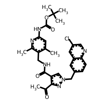 CC(=O)c1nn(Cc2ccc3ncc(Cl)cc3c2)cc1C(=O)NCc1c(C)cc(NC(=O)OC(C)(C)C)nc1C